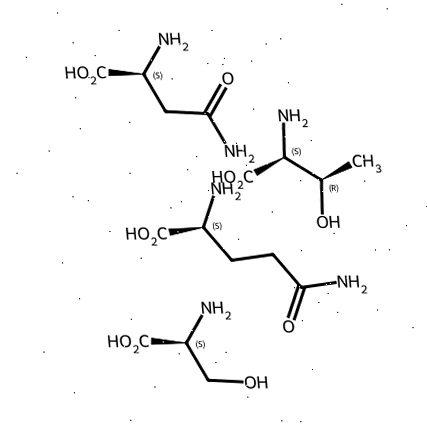 C[C@@H](O)[C@H](N)C(=O)O.NC(=O)CC[C@H](N)C(=O)O.NC(=O)C[C@H](N)C(=O)O.N[C@@H](CO)C(=O)O